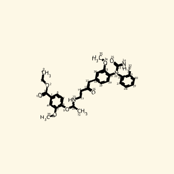 CCOC(=O)c1ccc(OC(C)NCCC(=O)Cc2ccc(N(C(N)=O)c3ccccc3F)c(OC)c2)c(OC)c1